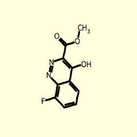 COC(=O)c1nnc2c(F)cccc2c1O